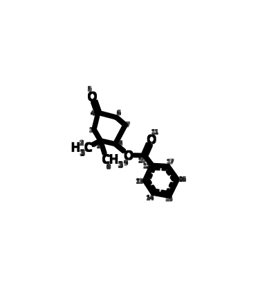 CC1(C)CC(=O)CCC1OC(=O)c1ccccc1